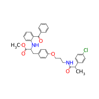 COC(=O)C(Cc1ccc(OCCCNC(=O)C(C)c2ccc(Cl)cc2)cc1)Nc1ccccc1C(=O)c1ccccc1